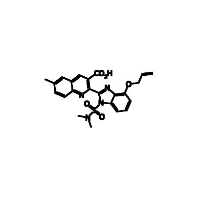 C=CCOc1cccc2c1nc(-c1nc3ccc(C)cc3cc1C(=O)O)n2S(=O)(=O)N(C)C